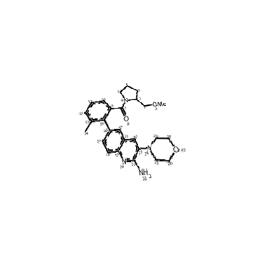 COCC1CCCN1C(=O)c1cccc(C)c1-c1ccc2nc(N)c(N3CCOCC3)cc2c1